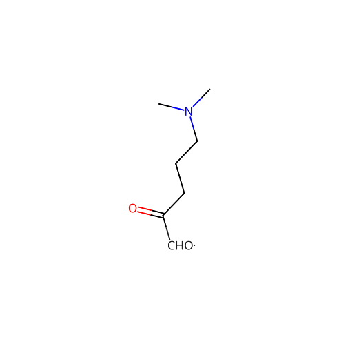 CN(C)CCCC(=O)[C]=O